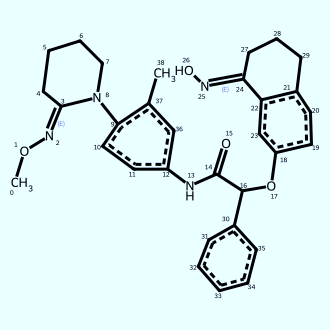 CO/N=C1\CCCCN1c1ccc(NC(=O)C(Oc2ccc3c(c2)/C(=N/O)CCC3)c2ccccc2)cc1C